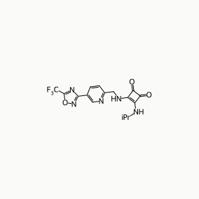 CC(C)Nc1c(NCc2ccc(-c3noc(C(F)(F)F)n3)cn2)c(=O)c1=O